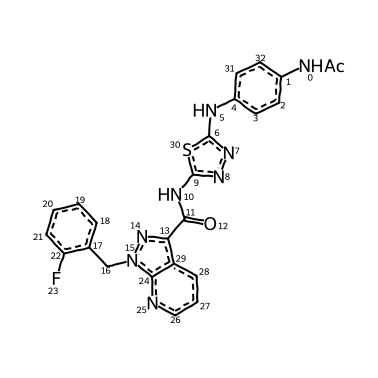 CC(=O)Nc1ccc(Nc2nnc(NC(=O)c3nn(Cc4ccccc4F)c4ncccc34)s2)cc1